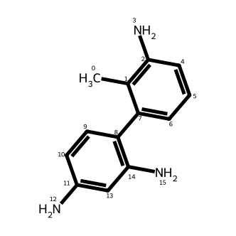 Cc1c(N)cccc1-c1ccc(N)cc1N